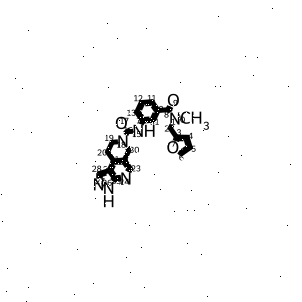 CN(Cc1ccco1)C(=O)c1cccc(NC(=O)N2CCc3c(cnc4[nH]ncc34)C2)c1